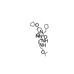 CC(C)OCCN/C=C\C(=N)NC(=O)[C@H](CC1CCCC1)N1CC(OC2CCCC2)=CC1=O